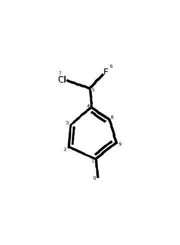 Cc1ccc(C(F)Cl)cc1